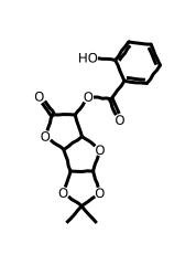 CC1(C)OC2OC3C(OC(=O)c4ccccc4O)C(=O)OC3C2O1